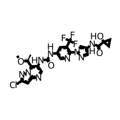 CO[C@@H](C)c1c(NC(=O)Nc2cnc(-n3cc(NC(=O)C4(O)CC4)cn3)c(C(F)(F)F)c2)cnc2cc(Cl)nn12